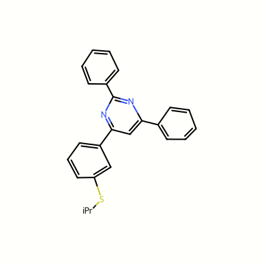 CC(C)Sc1cccc(-c2cc(-c3ccccc3)nc(-c3ccccc3)n2)c1